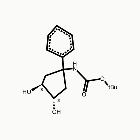 CC(C)(C)OC(=O)NC1(c2ccccc2)C[C@H](O)[C@@H](O)C1